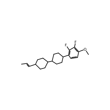 C/C=C/C1CCC(C2CCC(c3ccc(OC)c(F)c3F)CC2)CC1